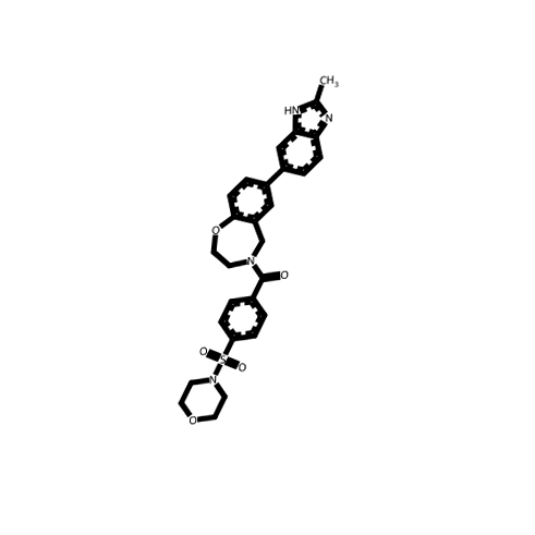 Cc1nc2ccc(-c3ccc4c(c3)CN(C(=O)c3ccc(S(=O)(=O)N5CCOCC5)cc3)CCO4)cc2[nH]1